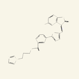 O=C1Nc2ccc(Cl)cc2/C1=C\c1ccc(-c2cccc(C(=O)NCCCn3ccnc3)c2)o1